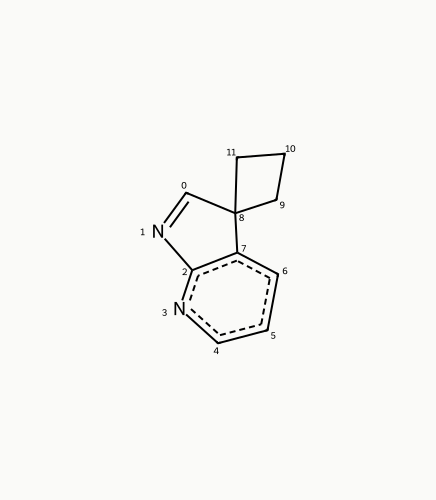 C1=Nc2ncccc2C12CCC2